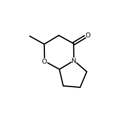 CC1CC(=O)N2CCCC2O1